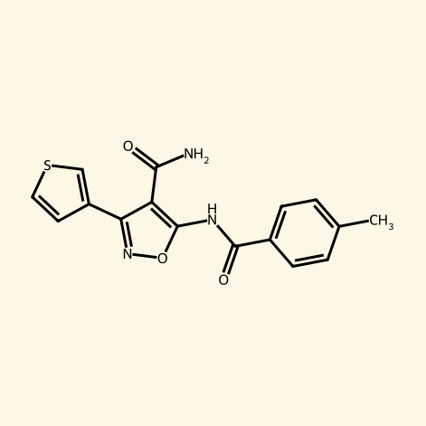 Cc1ccc(C(=O)Nc2onc(-c3ccsc3)c2C(N)=O)cc1